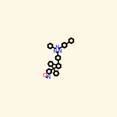 c1ccc(-c2ccc(-c3nc(-c4ccccc4)nc(-c4ccc(-c5cccc6c5-c5ccccc5C6(c5ccccc5)c5ccc6ocnc6c5)cc4)n3)cc2)cc1